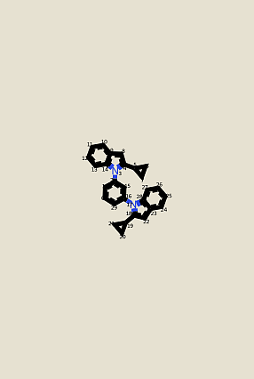 c1cc(-n2c(C3CC3)cc3ccccc32)cc(-n2c(C3CC3)cc3ccccc32)c1